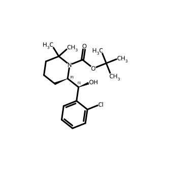 CC(C)(C)OC(=O)N1[C@@H]([C@@H](O)c2ccccc2Cl)CCCC1(C)C